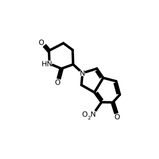 O=C1CCC(N2C=C3C=CC(=O)C([N+](=O)[O-])=C3C2)C(=O)N1